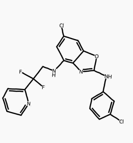 FC(F)(CNc1cc(Cl)cc2oc(Nc3cccc(Cl)c3)nc12)c1ccccn1